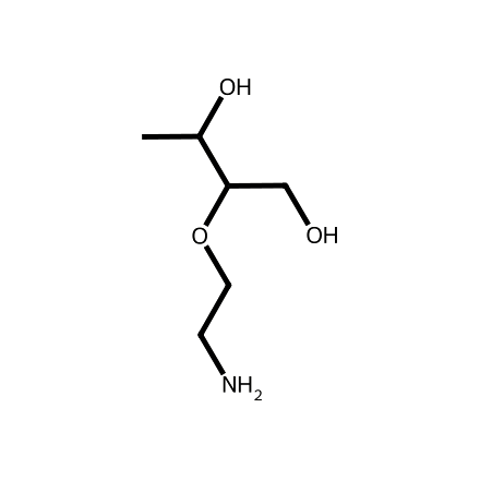 CC(O)C(CO)OCCN